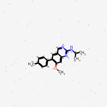 COc1cc2nc(NC(C)C)ncc2cc1-c1ccc(C)cc1